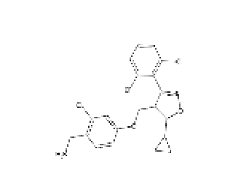 BCc1ccc(OCC2C(c3c(Cl)cccc3Cl)=NOC2C2CC2)cc1Cl